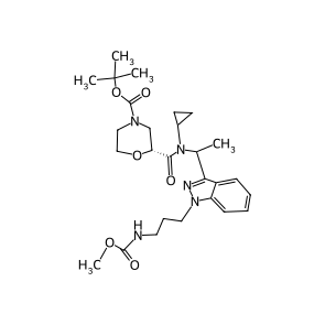 COC(=O)NCCCn1nc(C(C)N(C(=O)[C@H]2CN(C(=O)OC(C)(C)C)CCO2)C2CC2)c2ccccc21